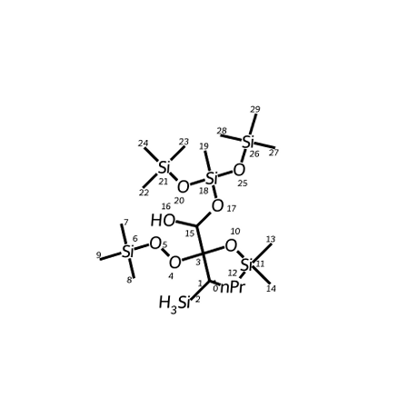 CCC[C]([SiH3])C(OO[Si](C)(C)C)(O[Si](C)(C)C)C(O)O[Si](C)(O[Si](C)(C)C)O[Si](C)(C)C